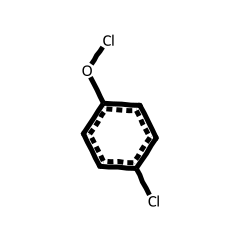 ClOc1ccc(Cl)cc1